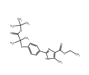 CCOC(=O)c1nc(-c2ccc(SC(C)(C)C(=O)OC(C)(C)C)cc2)[nH]c1C